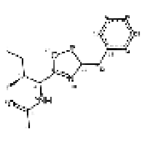 CC[C@H](C)[C@H](NC(C)=O)C1=N[C@H](Cc2ccccc2)CO1